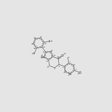 Cc1cc(Cl)ncc1C1CCc2[nH]c(-c3c(F)cccc3F)cc2C1=O